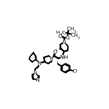 CC(C)(C)OC(=O)N1CCC(N[C@H](Cc2ccc(Cl)cc2)C(=O)N2CCC(N(CCn3ccnc3)C3CCCCC3)CC2)CC1